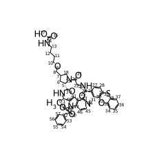 C[C@@H](NC(=O)[C@@H]1CC(COCCCCNC(=O)O)CN1C(=O)CNC(=O)c1ccc2c(c1)Oc1ccccc1S2)c1cc2cnccc2n1S(=O)(=O)c1ccccc1